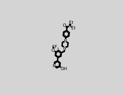 CCN(CC)C(=O)c1ccc(N2CCN(Cc3cc(OC(F)(F)F)cc(-c4cncc(O)c4)c3)CC2)cc1